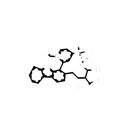 C=C[n+]1ccc([Si](C)(C)C)cc1-c1c(CCC(C(=C)C)C(C)NC)ccc2c1oc1ccccc12